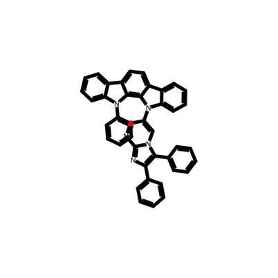 c1ccc(-c2nc3ncc(-n4c5ccccc5c5ccc6c7ccccc7n(-c7ccccc7)c6c54)cn3c2-c2ccccc2)cc1